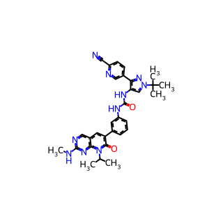 CNc1ncc2cc(-c3cccc(NC(=O)Nc4cn(C(C)(C)C)nc4-c4ccc(C#N)nc4)c3)c(=O)n(C(C)C)c2n1